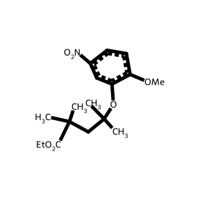 CCOC(=O)C(C)(C)CC(C)(C)Oc1cc([N+](=O)[O-])ccc1OC